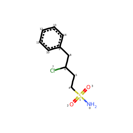 NS(=O)(=O)CCC(Cl)Cc1ccccc1